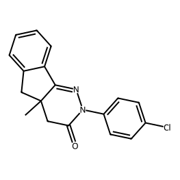 CC12CC(=O)N(c3ccc(Cl)cc3)N=C1c1ccccc1C2